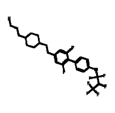 FCCCC1CCC(CCc2cc(F)c(-c3ccc(OC(F)(F)C(F)C(F)(F)F)cc3)c(F)c2)CC1